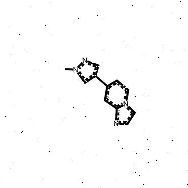 Cn1cc(-c2ccn3ccnc3c2)cn1